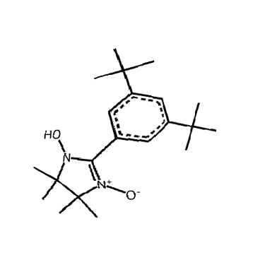 CC(C)(C)c1cc(C2=[N+]([O-])C(C)(C)C(C)(C)N2O)cc(C(C)(C)C)c1